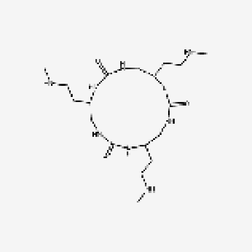 CNCCC1CNC(=O)NC(CCNC)CNC(=O)NC(CCNC)CNC(=O)N1